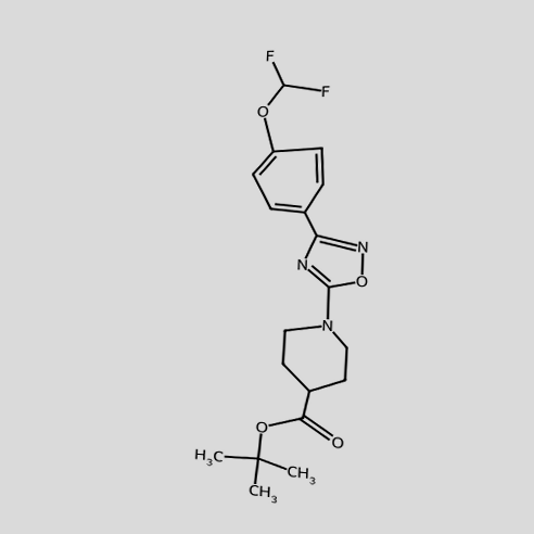 CC(C)(C)OC(=O)C1CCN(c2nc(-c3ccc(OC(F)F)cc3)no2)CC1